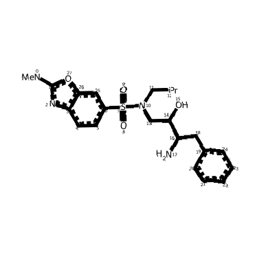 CNc1nc2ccc(S(=O)(=O)N(CC(C)C)CC(O)C(N)Cc3ccccc3)cc2o1